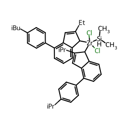 CCC1=Cc2c(-c3ccc(C(C)CC)cc3)cccc2[CH]1[Zr]([Cl])([Cl])([CH]1C(C(C)C)=Cc2c(-c3ccc(C(C)C)cc3)cccc21)[SiH](C)C